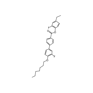 CCCCCCCOc1ccc(-c2ccc(C(=O)Oc3ccc(CC)cc3F)cc2)cc1F